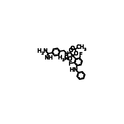 CO[C@@](OC(C)=O)(C(=O)NCc1ccc(C(=N)N)cc1)c1c(F)ccc(Nc2ccccc2)c1F